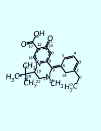 CCC1=CC=C/C(=C2\c3cc(=O)c(C(=O)O)cn3C(C(C)(C)C)CN2C)C1